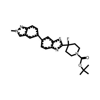 Cn1cc2cc(-c3ccc4nc(C5(F)CCN(C(=O)OC(C)(C)C)CC5)sc4c3)ccc2n1